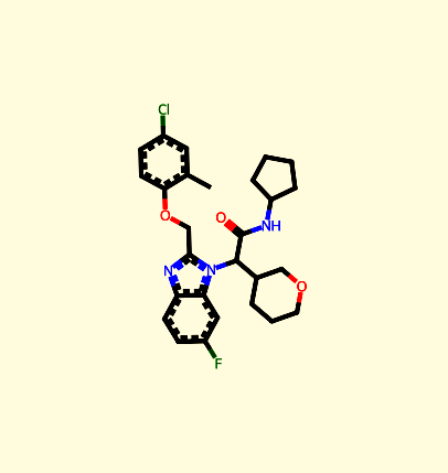 Cc1cc(Cl)ccc1OCc1nc2ccc(F)cc2n1C(C(=O)NC1CCCC1)C1CCCOC1